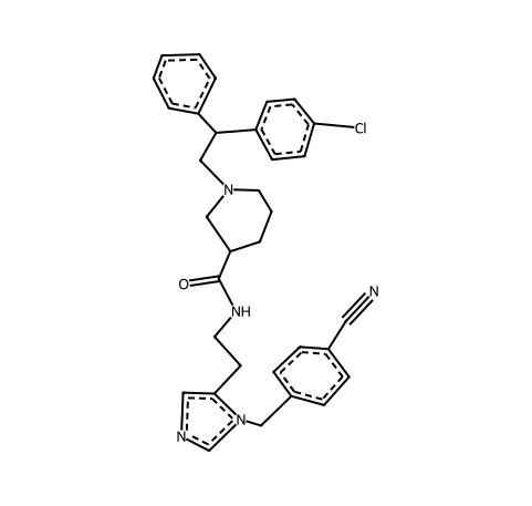 N#Cc1ccc(Cn2cncc2CCNC(=O)C2CCCN(CC(c3ccccc3)c3ccc(Cl)cc3)C2)cc1